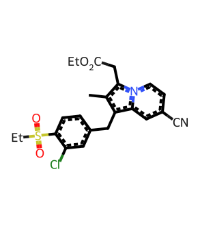 CCOC(=O)Cc1c(C)c(Cc2ccc(S(=O)(=O)CC)c(Cl)c2)c2cc(C#N)ccn12